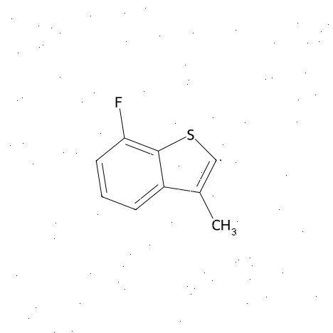 Cc1[c]sc2c(F)cccc12